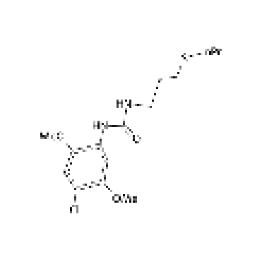 CCCSCCCNC(=O)Nc1cc(OC)c(Cl)cc1OC